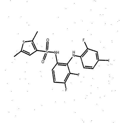 Cc1cc(S(=O)(=O)Nc2ccc(F)c(F)c2Nc2ccc(I)cc2F)c(C)s1